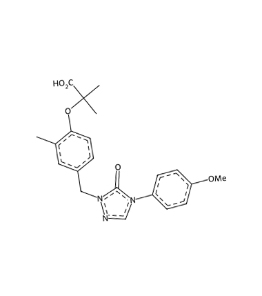 COc1ccc(-n2cnn(Cc3ccc(OC(C)(C)C(=O)O)c(C)c3)c2=O)cc1